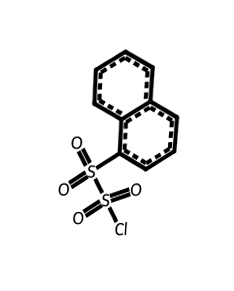 O=S(=O)(Cl)S(=O)(=O)c1cccc2ccccc12